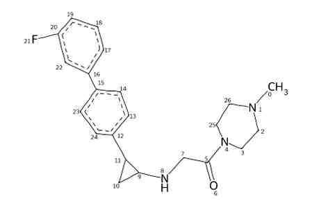 CN1CCN(C(=O)CNC2CC2c2ccc(-c3cccc(F)c3)cc2)CC1